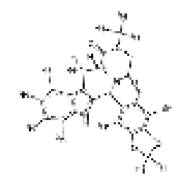 [2H]c1c([2H])c(C2c3[nH]c4c([2H])c([2H])c([2H])c([2H])c4c3C([2H])([2H])[C@@H]3C(=O)N(C([2H])([2H])[2H])CC(=O)N23)c([2H])c2c1OC([2H])([2H])O2